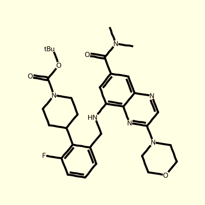 CN(C)C(=O)c1cc(NCc2cccc(F)c2C2CCN(C(=O)OC(C)(C)C)CC2)c2nc(N3CCOCC3)cnc2c1